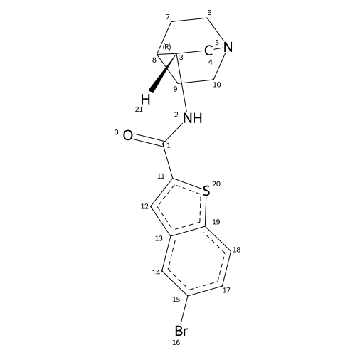 O=C(N[C@H]1CN2CCC1CC2)c1cc2cc(Br)ccc2s1